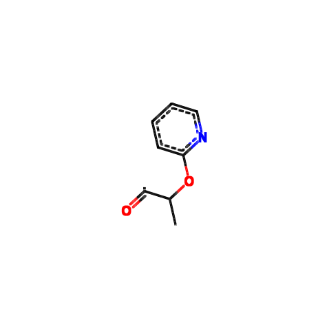 CC([C]=O)Oc1ccccn1